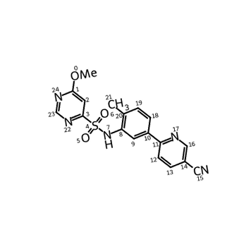 COc1cc(S(=O)(=O)Nc2cc(-c3ccc(C#N)cn3)ccc2C)ncn1